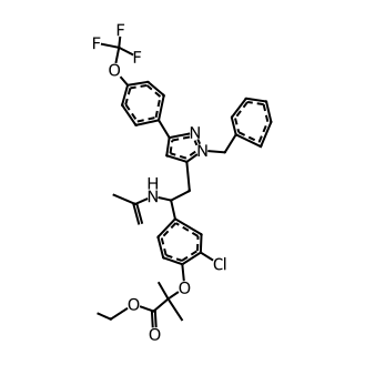 C=C(C)NC(Cc1cc(-c2ccc(OC(F)(F)F)cc2)nn1Cc1ccccc1)c1ccc(OC(C)(C)C(=O)OCC)c(Cl)c1